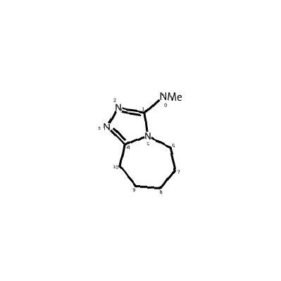 CNc1nnc2n1CCCCC2